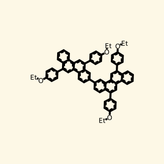 CCOc1ccc(-c2cc3c4ccc(-c5ccc6c(-c7ccc(OCC)cc7)cc7c8ccccc8c(-c8ccc(OCC)cc8)cc7c6c5)cc4c(-c4ccc(OCC)cc4)cc3c3ccccc23)cc1